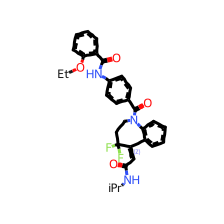 CCOc1ccccc1C(=O)Nc1ccc(C(=O)N2CCC(F)(F)/C(=C\C(=O)NC(C)C)c3ccccc32)cc1